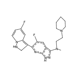 CN(CCN1CCCCC1)c1n[nH]c2nc(C3=C4C=C(F)C=CN4NC3)c(F)cc12